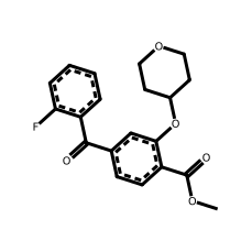 COC(=O)c1ccc(C(=O)c2ccccc2F)cc1OC1CCOCC1